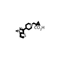 Cn1nc(C2CCN(CC3(C(=O)O)CC3)CC2)c2sccc21